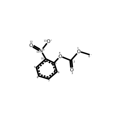 [CH2]OC(=O)Oc1ccccc1[N+](=O)[O-]